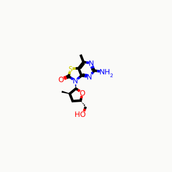 Cc1nc(N)nc2c1sc(=O)n2[C@@H]1O[C@H](CO)C[C@H]1C